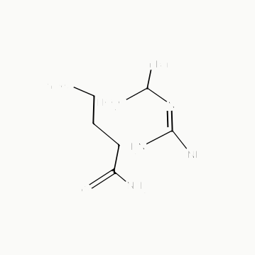 CCCCC(N=C(N)N)C(=O)O.CCCCCCCCCCCCCC(N)=O